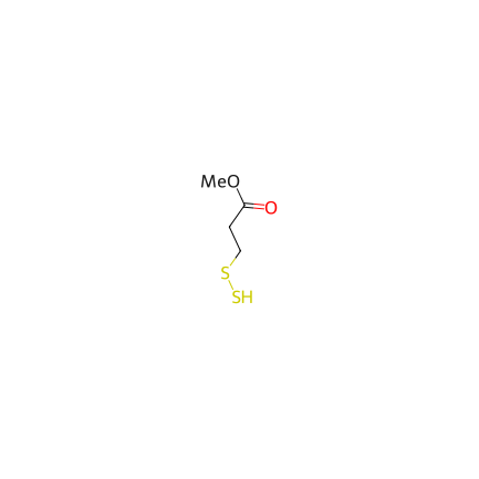 COC(=O)CCSS